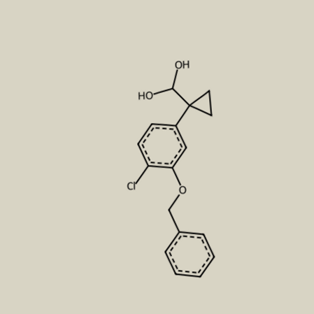 OC(O)C1(c2ccc(Cl)c(OCc3ccccc3)c2)CC1